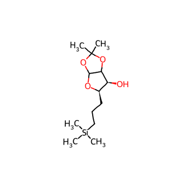 CC1(C)OC2O[C@H](CCC[Si](C)(C)C)[C@H](O)C2O1